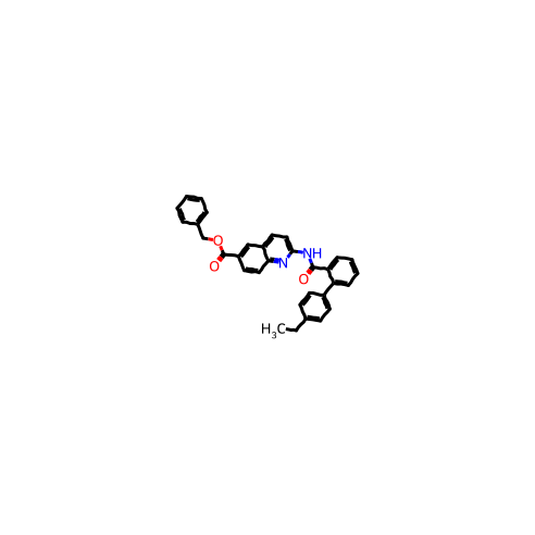 CCc1ccc(-c2ccccc2C(=O)Nc2ccc3cc(C(=O)OCc4ccccc4)ccc3n2)cc1